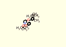 Cc1cc(CO[C@H]2CCCN(C(=O)OC(C)(C)C)[C@H]2c2ccccc2)cc([Si](C)(C)C)c1